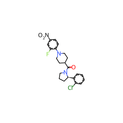 O=C(C1CCN(c2ccc([N+](=O)[O-])cc2F)CC1)N1CCC[C@@H]1c1ccccc1Cl